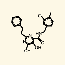 Cc1ccc(CNC(=O)c2nc(CCc3ccccc3)nc(O)c2O)cc1Cl